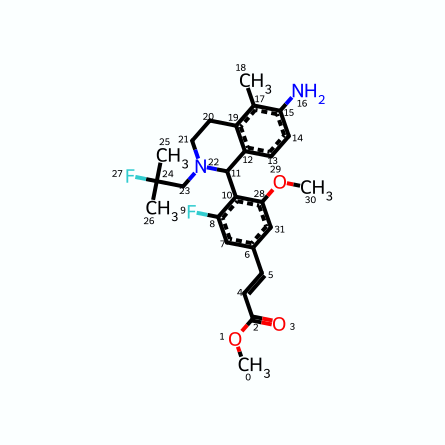 COC(=O)/C=C/c1cc(F)c(C2c3ccc(N)c(C)c3CCN2CC(C)(C)F)c(OC)c1